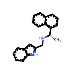 C[C@H](NCc1cc2ccccc2[nH]1)c1cccc2ccccc12